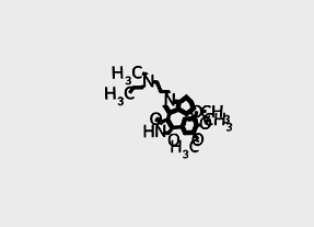 CCCN(CC)CCCn1cc(C2=C(c3cc(OC)c(OC)c(OC)c3)C(=O)NC2=O)c2ccccc21